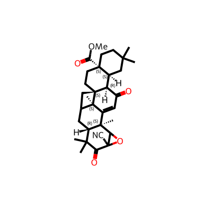 COC(=O)[C@]12CCC(C)(C)C[C@H]1[C@H]1C(=O)C=C3[C@@]4(C)C5OC5(C#N)C(=O)C(C)(C)[C@@H]4CC4C[C@]1(CC2)[C@@]34C